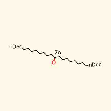 CCCCCCCCCCCCCCCCCCC(=O)CCCCCCCCCCCCCCCCCC.[Zn]